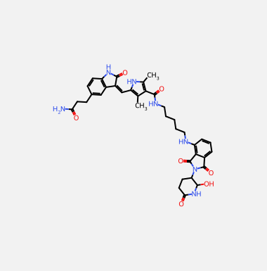 Cc1[nH]c(/C=C2\C(=O)Nc3ccc(CCC(N)=O)cc32)c(C)c1C(=O)NCCCCCNc1cccc2c1C(=O)N(C1CCC(=O)NC1O)C2=O